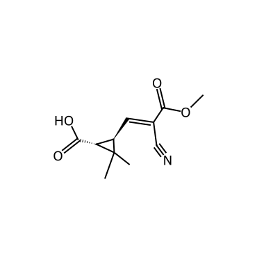 COC(=O)/C(C#N)=C/[C@@H]1[C@@H](C(=O)O)C1(C)C